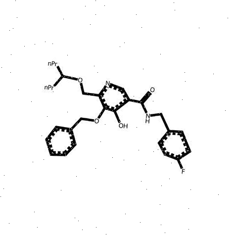 CCCC(CCC)OCc1ncc(C(=O)NCc2ccc(F)cc2)c(O)c1OCc1ccccc1